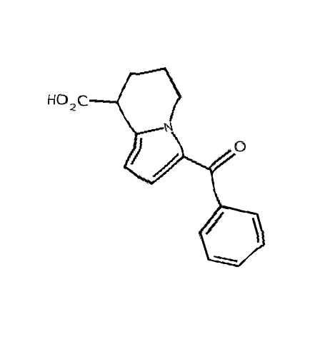 O=C(c1ccccc1)c1ccc2n1CCCC2C(=O)O